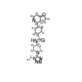 CCn1nnnc1N1CCC(NC(=O)c2ccc(-c3nccc4occc34)cc2)CC1